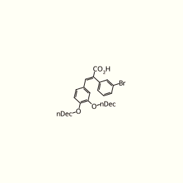 CCCCCCCCCCOc1ccc(/C=C(/C(=O)O)c2cccc(Br)c2)cc1OCCCCCCCCCC